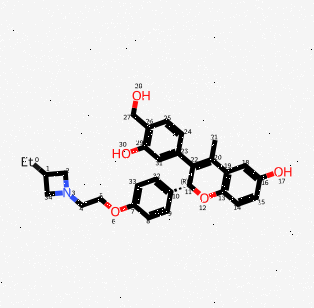 CCC1CN(CCOc2ccc([C@H]3Oc4ccc(O)cc4C(C)=C3c3ccc(CO)c(O)c3)cc2)C1